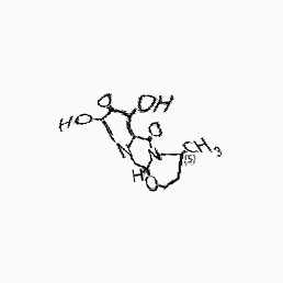 C[C@H]1CCO[C@@H]2Cn3cc(O)c(=O)c(O)c3C(=O)N12